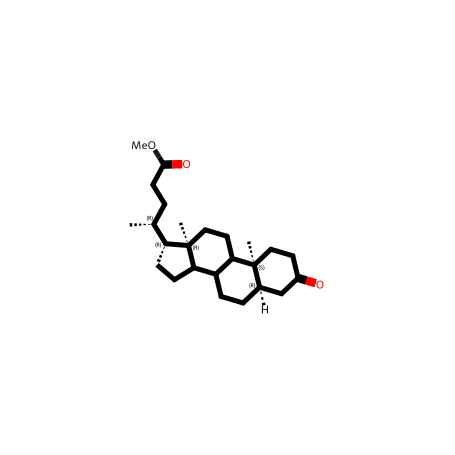 COC(=O)CC[C@@H](C)[C@H]1CCC2C3CC[C@@H]4CC(=O)CC[C@]4(C)C3CC[C@@]21C